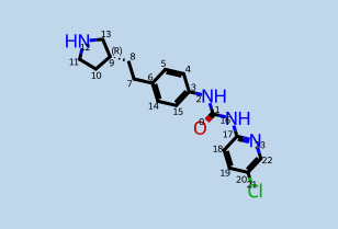 O=C(Nc1ccc(CC[C@@H]2CCNC2)cc1)Nc1ccc(Cl)cn1